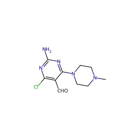 CN1CCN(c2nc(N)nc(Cl)c2C=O)CC1